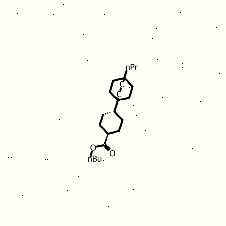 CCCCOC(=O)[C@H]1CC[C@H](C23CCC(CCC)(CC2)CC3)CC1